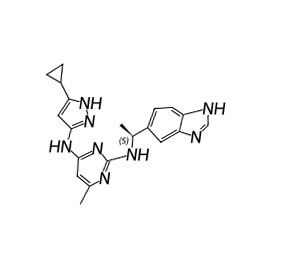 Cc1cc(Nc2cc(C3CC3)[nH]n2)nc(N[C@@H](C)c2ccc3[nH]cnc3c2)n1